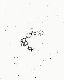 Cn1cc(-c2cc3c(N4CCN(C(=O)OCC5CCCO5)CC4)ccnc3[nH]2)cn1